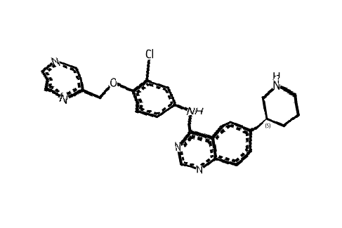 Clc1cc(Nc2ncnc3ccc([C@@H]4CCCNC4)cc23)ccc1OCc1cnccn1